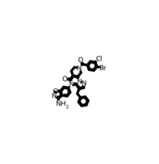 Nc1noc2cc(-n3c(=O)c4c(n5ncc(Cc6ccccc6)c35)CN(C(=O)c3ccc(Br)c(Cl)c3)CC4)ccc12